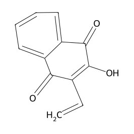 C=CC1=C(O)C(=O)c2ccccc2C1=O